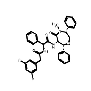 CN1C(=O)[C@@H](NC(=O)[C@@H](NC(=O)Cc2cc(F)cc(F)c2)c2ccccc2)[C@@H](c2ccccc2)OC[C@H]1c1ccccc1